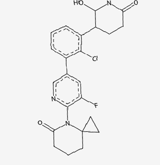 O=C1CCC(c2cccc(-c3cnc(N4C(=O)CCCC45CC5)c(F)c3)c2Cl)C(O)N1